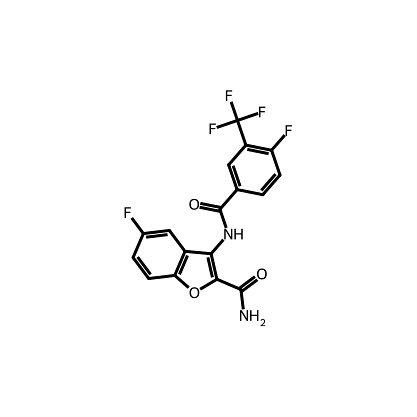 NC(=O)c1oc2ccc(F)cc2c1NC(=O)c1ccc(F)c(C(F)(F)F)c1